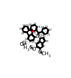 COc1cc2c(cc1OC)[CH]([Zr+2](=[C](c1ccccc1)c1ccccc1)[c]1cccc3c1Cc1ccccc1-3)C=C2.[Cl-].[Cl-]